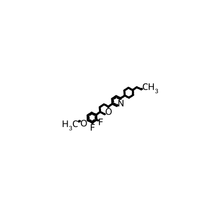 CCCC1CCC(c2ccc(C3CCC(c4ccc(OCC)c(F)c4F)CO3)cn2)CC1